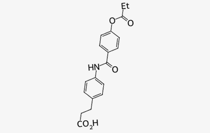 CCC(=O)Oc1ccc(C(=O)Nc2ccc(CCC(=O)O)cc2)cc1